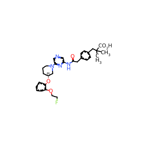 CC(C)(Cc1ccc(CC(=O)Nc2cncc(N3CCC[C@@H](Oc4ccccc4OCCF)C3)n2)cc1)C(=O)O